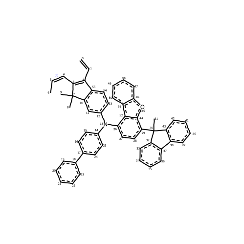 C=CC1=C(/C=C\C)C(C)(C)c2cc(N(c3ccc(-c4ccccc4)cc3)c3ccc(C4(C)c5ccccc5-c5ccccc54)c4oc5ccccc5c34)ccc21